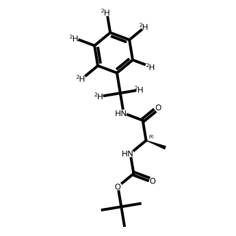 [2H]c1c([2H])c([2H])c(C([2H])([2H])NC(=O)[C@@H](C)NC(=O)OC(C)(C)C)c([2H])c1[2H]